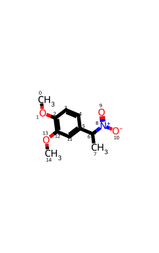 COc1ccc([C](C)[N+](=O)[O-])cc1OC